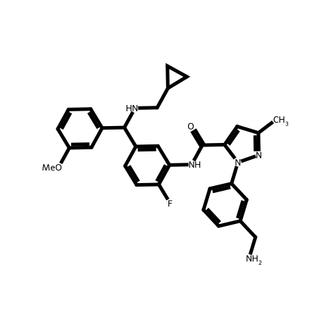 COc1cccc(C(NCC2CC2)c2ccc(F)c(NC(=O)c3cc(C)nn3-c3cccc(CN)c3)c2)c1